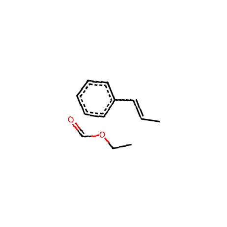 CC=Cc1ccccc1.CCOC=O